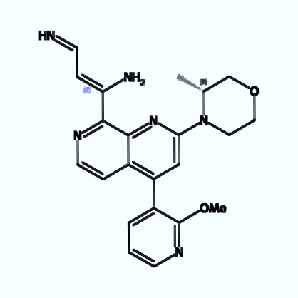 COc1ncccc1-c1cc(N2CCOC[C@H]2C)nc2c(/C(N)=C/C=N)nccc12